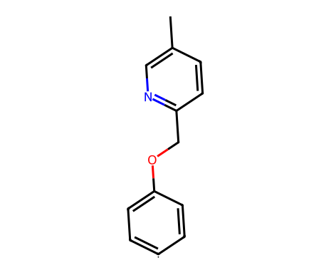 Cc1ccc(COc2cc[c]cc2)nc1